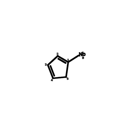 [Nb][C]1=CC=CC1